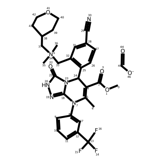 COC(=O)C1=C(C)N(c2cccc(C(F)(F)F)c2)c2n[nH]c(=O)n2C1c1ccc(C#N)cc1C[N+](C)(C)CC1CCOCC1.O=C[O-]